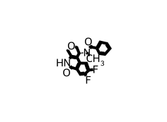 CN(C(=O)c1ccccc1)[C@H]1COCc2[nH]c(=O)c3cc(F)c(F)cc3c21